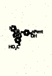 C=CC(c1cccnc1)S(=O)(=O)N(Cc1ccc(C(O)CCCCC)cc1)Cc1cccc(CC(=O)O)c1